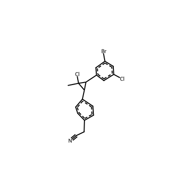 CC1(Cl)C(c2ccc(CC#N)cc2)C1c1cc(Cl)cc(Br)c1